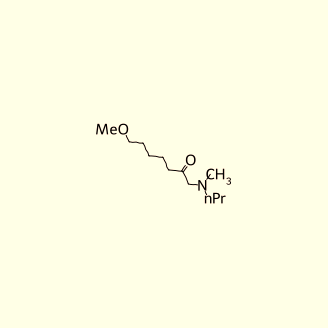 CCCN(C)CC(=O)CCCCCOC